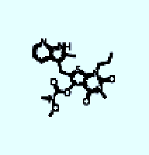 CCCn1c(=O)n(C)c(=O)c2c(OC(=O)N(C)OC)c(Cc3c(C)[nH]c4ncccc34)sc21